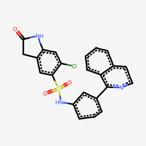 O=C1Cc2cc(S(=O)(=O)Nc3cccc(-c4nccc5ccccc45)c3)c(Cl)cc2N1